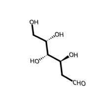 O=CC[C@H](O)[C@H](O)[C@@H](O)CO